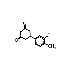 Cc1ccc(C2CC(=O)CC(=O)C2)cc1F